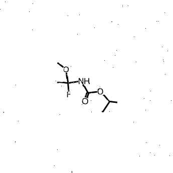 COC(C)(F)NC(=O)OC(C)C